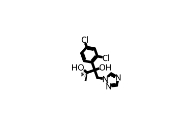 C[C@@H](O)C(O)(Cn1cncn1)c1ccc(Cl)cc1Cl